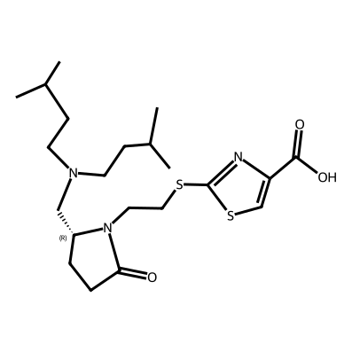 CC(C)CCN(CCC(C)C)C[C@H]1CCC(=O)N1CCSc1nc(C(=O)O)cs1